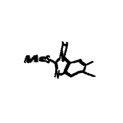 CSc1nc2cc(C)c(C)cc2[nH]1